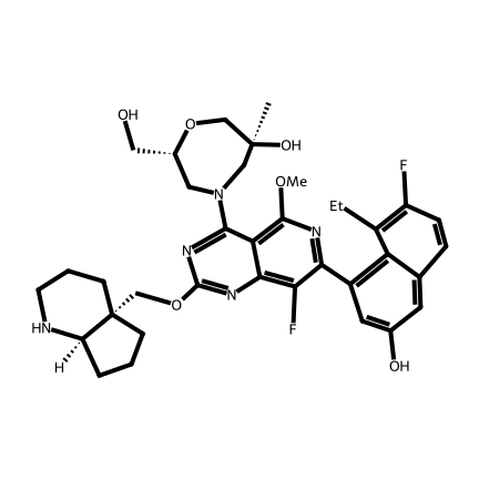 CCc1c(F)ccc2cc(O)cc(-c3nc(OC)c4c(N5C[C@H](CO)OC[C@@](C)(O)C5)nc(OC[C@@]56CCCN[C@@H]5CCC6)nc4c3F)c12